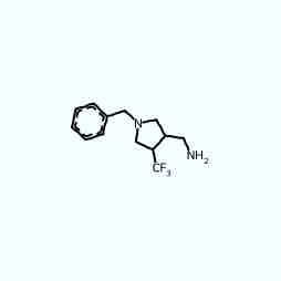 NCC1CN(Cc2ccccc2)CC1C(F)(F)F